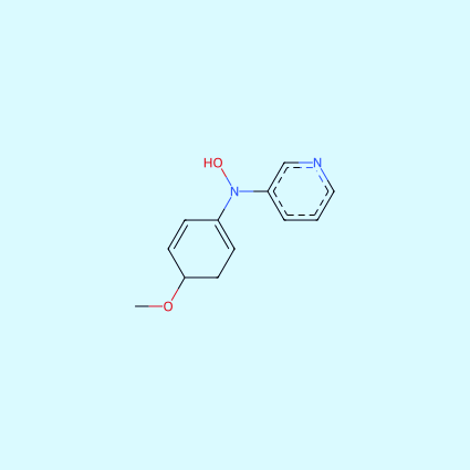 COC1C=CC(N(O)c2cccnc2)=CC1